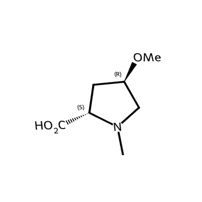 CO[C@@H]1C[C@@H](C(=O)O)N(C)C1